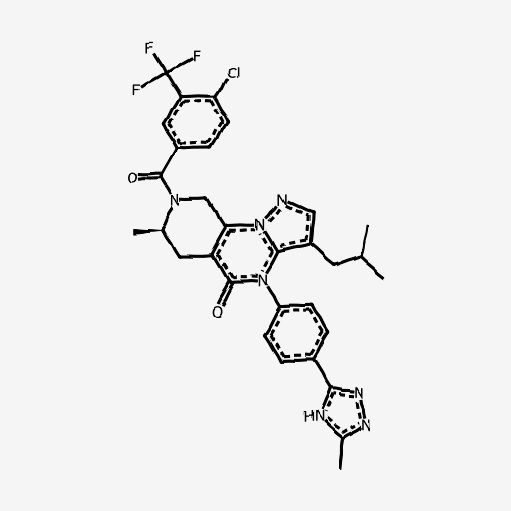 Cc1nnc(-c2ccc(-n3c(=O)c4c(n5ncc(CC(C)C)c35)CN(C(=O)c3ccc(Cl)c(C(F)(F)F)c3)[C@H](C)C4)cc2)[nH]1